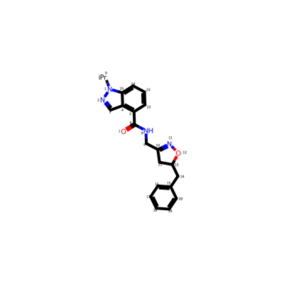 CC(C)n1ncc2c(C(=O)NCC3=NOC(Cc4ccccc4)C3)cccc21